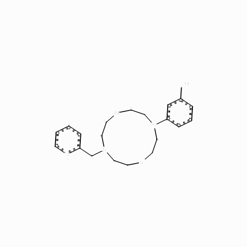 COc1cccc(N2CCNCCN(Cc3ccccn3)CCNCC2)c1